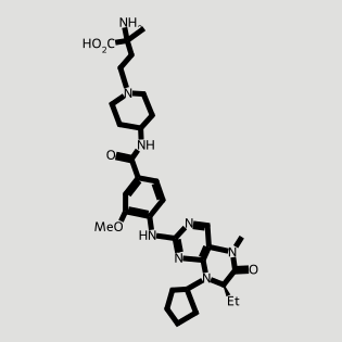 CC[C@@H]1C(=O)N(C)c2cnc(Nc3ccc(C(=O)NC4CCN(CCC(C)(N)C(=O)O)CC4)cc3OC)nc2N1C1CCCC1